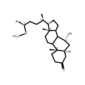 CC(C)[C@@H](CC[C@@H](C)[C@H]1CCC2C3C(CC[C@@]21C)[C@@]1(C)CCC(=O)C[C@@H]1C[C@H]3O)OS(=O)(=O)O